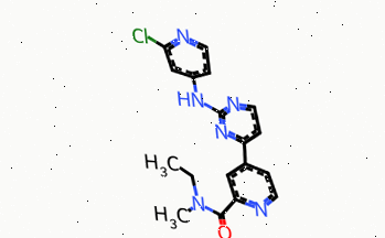 CCN(C)C(=O)c1cc(-c2ccnc(Nc3ccnc(Cl)c3)n2)ccn1